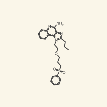 CCCc1nc2c(N)nc3ccccc3c2n1CCOCCCS(=O)(=O)c1ccccc1